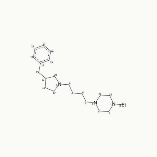 CCN1CCN(CCCCN2CCC(Cc3ccccc3)C2)CC1